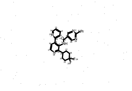 CC(C)c1ncc(C(=O)Nc2c(-c3ccccn3)ccnc2C2CCC(F)(F)CC2)cn1